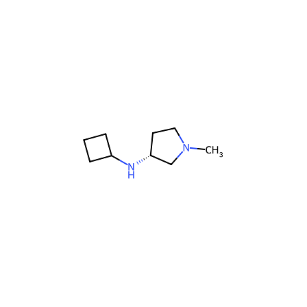 CN1CC[C@@H](NC2CCC2)C1